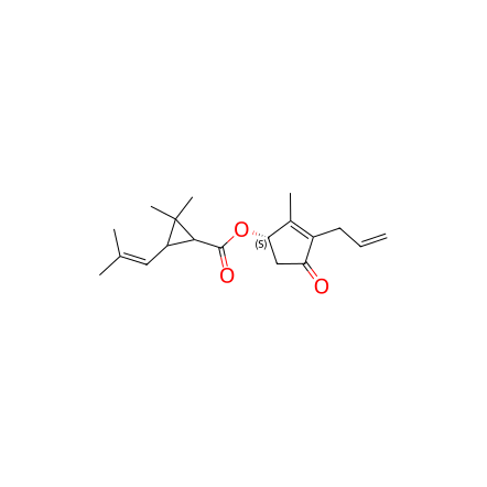 C=CCC1=C(C)[C@@H](OC(=O)C2C(C=C(C)C)C2(C)C)CC1=O